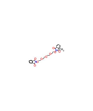 CC12C=CC=CC1C(=O)N(OCCOCCOCCOCCON1C(=O)c3ccccc3C1=O)C2=O